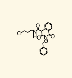 O=C(NCCCCl)C1C(=O)N(OCc2ccccc2)C(=O)c2ccccc21